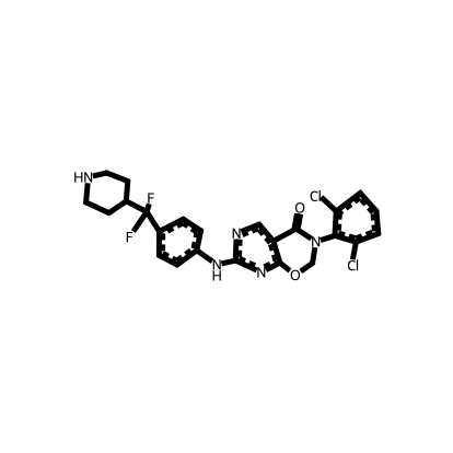 O=C1c2cnc(Nc3ccc(C(F)(F)C4CCNCC4)cc3)nc2OCN1c1c(Cl)cccc1Cl